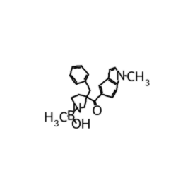 CB(O)N1CCC(Cc2ccccc2)(C(=O)c2ccc3c(ccn3C)c2)C1